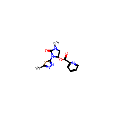 CCCc1nnc(N2C(=O)N(CCC)CC2OC(=O)c2ccccn2)s1